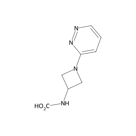 O=C(O)NC1CN(c2cccnn2)C1